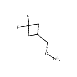 NOCC1CC(F)(F)C1